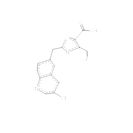 O=C(O)c1oc(Cc2ccc3ncc(Cl)cc3c2)nc1CF